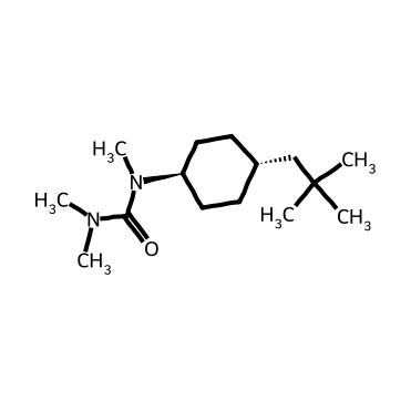 CN(C)C(=O)N(C)[C@H]1CC[C@H](CC(C)(C)C)CC1